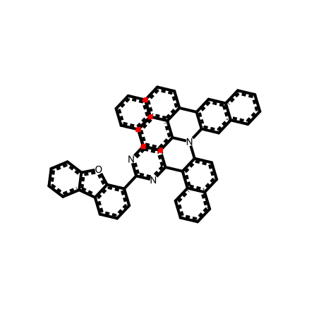 c1ccc(-c2nc(-c3c(N4c5cc6ccccc6cc5-c5cccc6cccc4c56)ccc4ccccc34)nc(-c3cccc4c3oc3ccccc34)n2)cc1